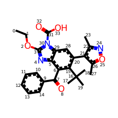 CCOc1nc2c(C(=O)c3ccccc3)c(C(C)(C)C)c(-c3c(C)noc3C)cc2n1C(=O)O